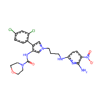 Nc1nc(NCCCn2cc(NC(=O)N3CCOCC3)c(-c3ccc(Cl)cc3Cl)c2)ccc1[N+](=O)[O-]